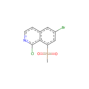 CS(=O)(=O)c1cc(Br)cc2ccnc(Cl)c12